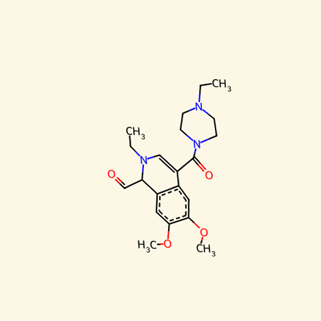 CCN1CCN(C(=O)C2=CN(CC)C(C=O)c3cc(OC)c(OC)cc32)CC1